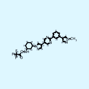 Cn1cc(-c2cccc(-c3ncc(-c4cnn(C5CCCC(NOC(=O)C(F)(F)F)C5)c4)cn3)c2)cn1